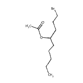 CCCCCC(CCCBr)OC(C)=O